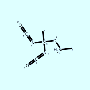 C[SiH2]O[Si](C)(N=C=O)N=C=O